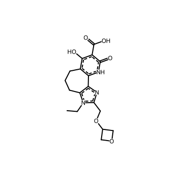 CCn1c(COC2COC2)nc2c1CCCc1c-2[nH]c(=O)c(C(=O)O)c1O